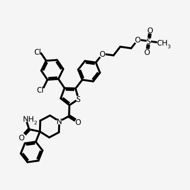 CS(=O)(=O)OCCCOc1ccc(-c2sc(C(=O)N3CCC(C(N)=O)(c4ccccc4)CC3)cc2-c2ccc(Cl)cc2Cl)cc1